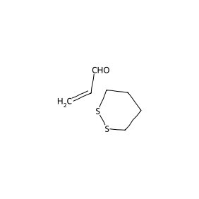 C1CCSSC1.C=CC=O